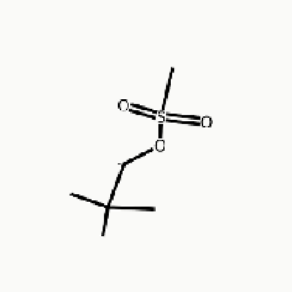 CC(C)(C)[CH]OS(C)(=O)=O